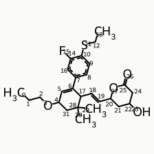 CCCOC1C=C(c2ccc(SCC)c(F)c2)C(C=CC2CC(O)CC(=O)O2)C(C)(C)C1